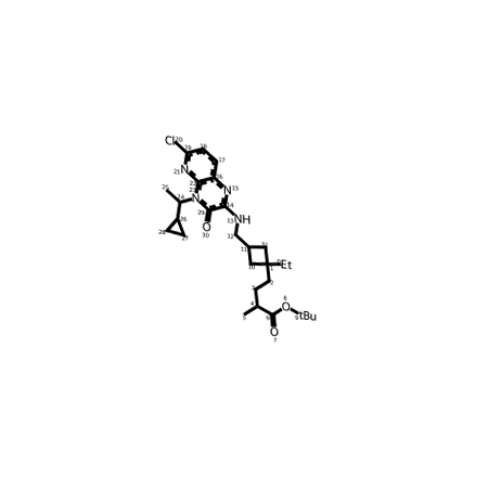 CCC1(CCC(C)C(=O)OC(C)(C)C)CC(CNc2nc3ccc(Cl)nc3n(C(C)C3CC3)c2=O)C1